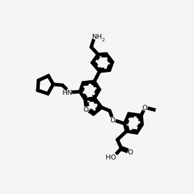 COc1ccc(CC(=O)O)c(OCc2coc3c(NCC4CCCC4)cc(-c4cccc(CN)c4)cc23)c1